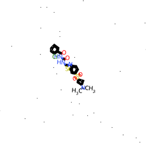 CN(C)C1CC(S(=O)(=O)c2ccc3nc(NC(=O)NC(=O)c4ccccc4Cl)sc3c2)C1